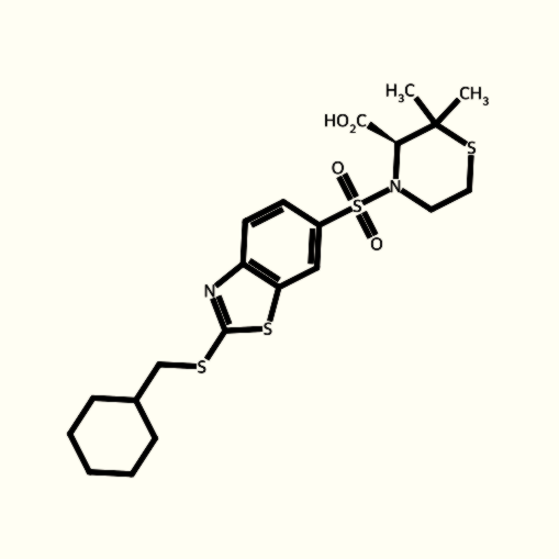 CC1(C)SCCN(S(=O)(=O)c2ccc3nc(SCC4CCCCC4)sc3c2)[C@H]1C(=O)O